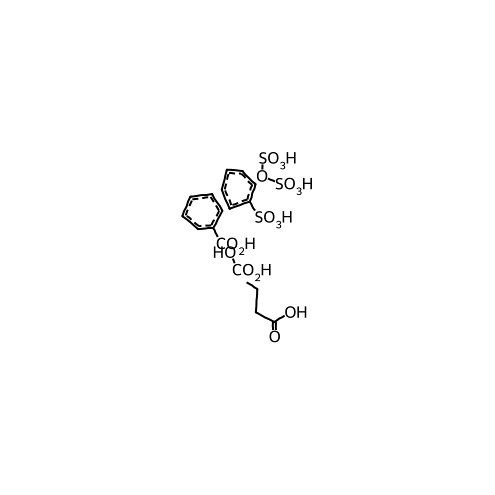 CCCC(=O)O.O=C(O)O.O=C(O)c1ccccc1.O=S(=O)(O)OS(=O)(=O)O.O=S(=O)(O)c1ccccc1